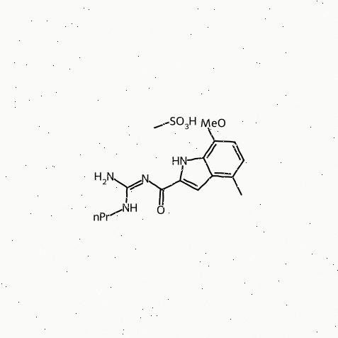 CCCNC(N)=NC(=O)c1cc2c(C)ccc(OC)c2[nH]1.CS(=O)(=O)O